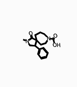 CN1CC(c2ccccc2)C2(CCCN(C(=O)O)CC2)C1=O